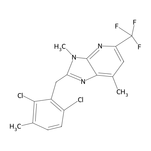 Cc1ccc(Cl)c(Cc2nc3c(C)cc(C(F)(F)F)nc3n2C)c1Cl